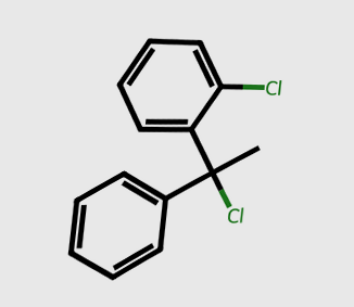 CC(Cl)(c1ccccc1)c1ccccc1Cl